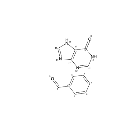 O=Cc1ccccc1.O=c1[nH]cnc2nc[nH]c12